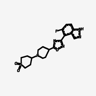 O=S1(=O)CCC(N2CCC(c3nc(-c4c(F)ccc5[nH]ncc45)no3)CC2)CC1